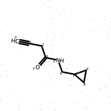 C#C[CH]C(=O)NCC1CC1